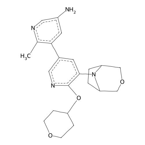 Cc1ncc(N)cc1-c1cnc(OC2CCOCC2)c(N2C3CCC2COC3)c1